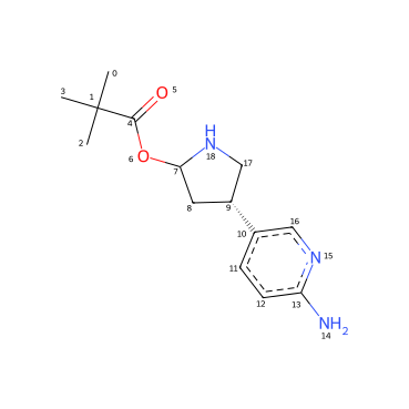 CC(C)(C)C(=O)OC1C[C@@H](c2ccc(N)nc2)CN1